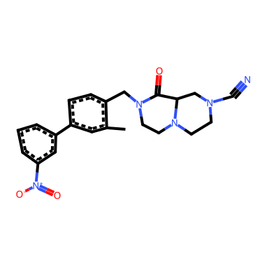 Cc1cc(-c2cccc([N+](=O)[O-])c2)ccc1CN1CCN2CCN(C#N)CC2C1=O